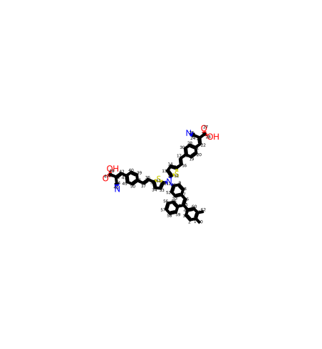 Cc1ccc(/C(=C/c2ccc(N(c3ccc(/C=C/c4ccc(/C=C(\C#N)C(=O)O)cc4)s3)c3ccc(/C=C/c4ccc(/C=C(\C#N)C(=O)O)cc4)s3)cc2)c2ccccc2)cc1C